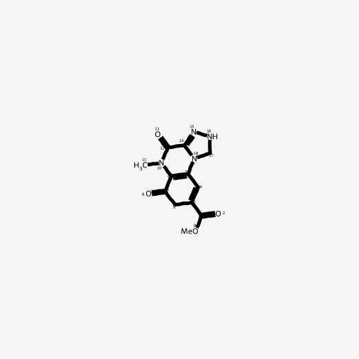 COC(=O)C1=CC2=C(C(=O)C1)N(C)C(=O)C1=NNCN12